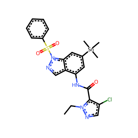 CCn1ncc(Cl)c1C(=O)Nc1c[c]([Sn]([CH3])([CH3])[CH3])cc2c1cnn2S(=O)(=O)c1ccccc1